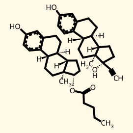 C#C[C@]1(O)CC[C@H]2[C@@H]3CCc4cc(O)ccc4[C@H]3CC[C@@]21C.CCCCC(=O)O[C@H]1CC[C@H]2[C@@H]3CCc4cc(O)ccc4[C@H]3CC[C@]12C